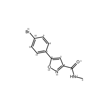 CNC(=O)c1cc(-c2ccc(Br)cc2)on1